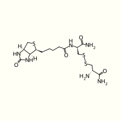 NC(=O)[C@H](N)CSSC[C@@H](NC(=O)CCCC[C@@H]1SC[C@@H]2NC(=O)N[C@@H]21)C(N)=O